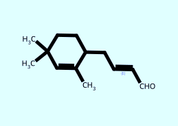 CC1=CC(C)(C)CCC1C/C=C/C=O